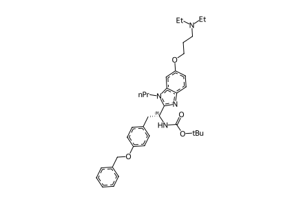 CCCn1c([C@@H](Cc2ccc(OCc3ccccc3)cc2)NC(=O)OC(C)(C)C)nc2ccc(OCCCN(CC)CC)cc21